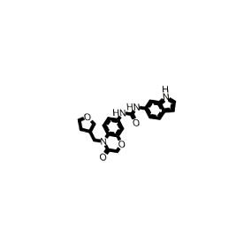 O=C(Nc1ccc2c(c1)OCC(=O)N2CC1CCOC1)Nc1ccc2cc[nH]c2c1